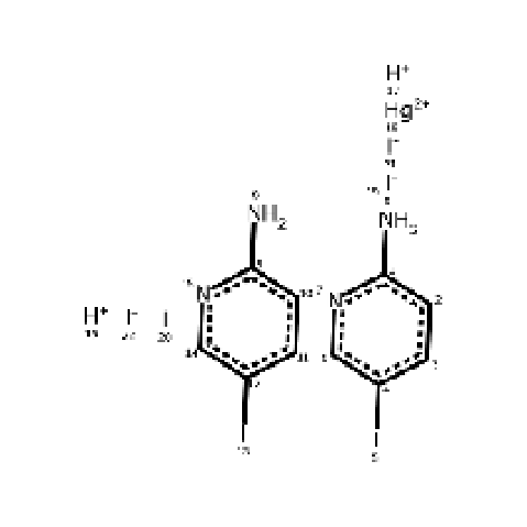 Nc1ccc(I)cn1.Nc1ccc(I)cn1.[H+].[H+].[Hg+2].[I-].[I-].[I-].[I-]